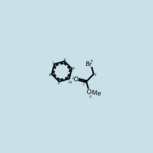 COC(=O)CBr.c1ccccc1